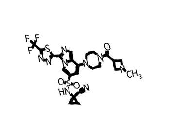 CN1CC(C(=O)N2CCN(c3cc(S(=O)(=O)NC4(C#N)CC4)cn4c(-c5nnc(C(F)(F)F)s5)ncc34)CC2)C1